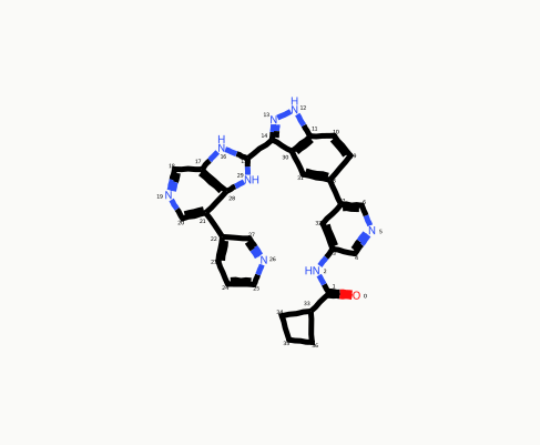 O=C(Nc1cncc(-c2ccc3[nH]nc(C4Nc5cncc(-c6cccnc6)c5N4)c3c2)c1)C1CCC1